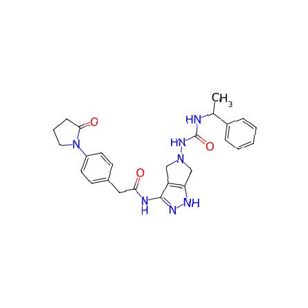 CC(NC(=O)NN1Cc2[nH]nc(NC(=O)Cc3ccc(N4CCCC4=O)cc3)c2C1)c1ccccc1